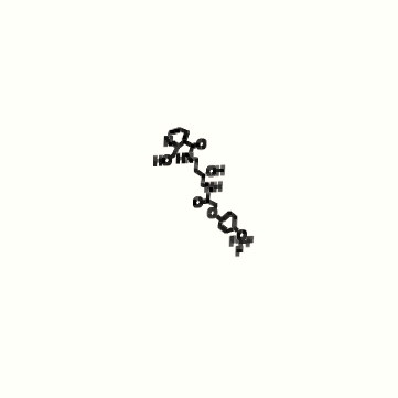 O=C(COc1ccc(OC(F)(F)F)cc1)NC[C@@H](O)CCNC(=O)c1cccnc1CO